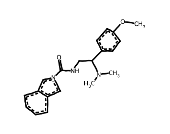 COc1ccc(C(CNC(=O)n2cc3ccccc3c2)N(C)C)cc1